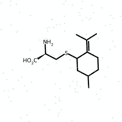 CC(C)=C1CCC(C)CC1SC[C@H](N)C(=O)O